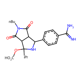 CCCCN1C(=O)C2C(c3ccc(C(=N)N)cc3)NC(OC(=O)O)(C(C)C)C2C1=O